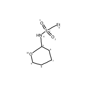 CCS(=O)(=O)NC1CCCCO1